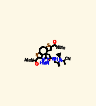 C=C(CN[C@@H](C)CC1(c2nn[nH]n2)c2cc(C(=O)NC)sc2CCc2sc(C(=O)NC)cc21)N(C(C)C#N)C1CC1